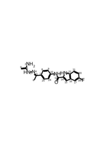 C=C(N)N/N=C(\C)c1ccc(NC(=O)c2cc3cc(F)ccc3[nH]2)cc1